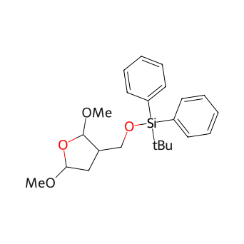 COC1CC(CO[Si](c2ccccc2)(c2ccccc2)C(C)(C)C)C(OC)O1